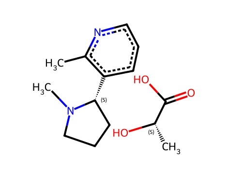 C[C@H](O)C(=O)O.Cc1ncccc1[C@@H]1CCCN1C